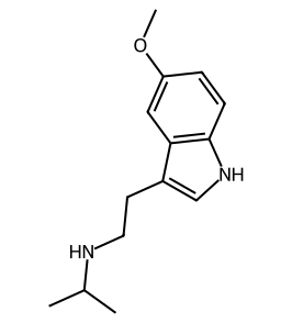 COc1ccc2[nH]cc(CCNC(C)C)c2c1